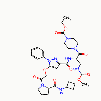 CCOC(=O)N1CCN(C(=O)C(CNC(=O)OC)NC(=O)c2cc(OCC(=O)N3CCCC3C(=O)NC3CCC3)n(-c3ccccc3)n2)CC1